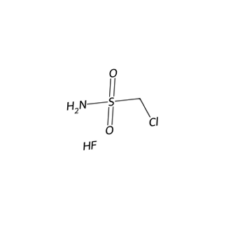 F.NS(=O)(=O)CCl